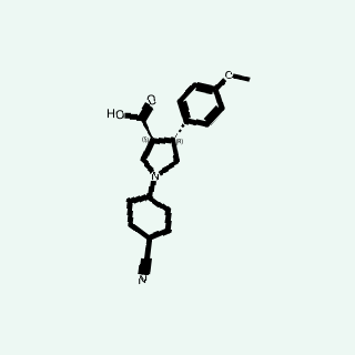 COc1ccc([C@@H]2CN(C3CCC(C#N)CC3)C[C@H]2C(=O)O)cc1